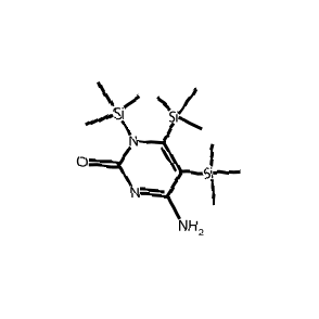 C[Si](C)(C)c1c(N)nc(=O)n([Si](C)(C)C)c1[Si](C)(C)C